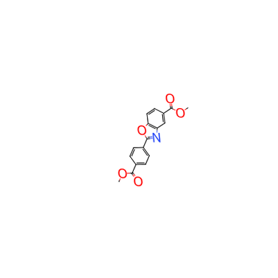 COC(=O)c1ccc(-c2nc3cc(C(=O)OC)ccc3o2)cc1